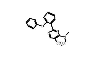 CCOC(=O)c1cnc(-c2ccccc2Oc2ccccc2)nc1N(C)C